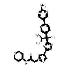 CC(C)[C@](C)(c1ccc(-c2cnc(N)nc2)nc1)c1noc(-c2cnn(CC(=O)NC3CCOCC3)c2)n1